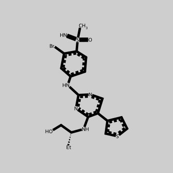 CC[C@H](CO)Nc1nc(Nc2ccc(S(C)(=N)=O)c(Br)c2)ncc1-c1ccsc1